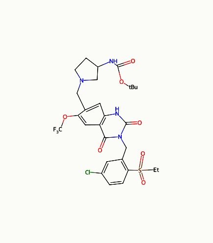 CCS(=O)(=O)c1ccc(Cl)cc1Cn1c(=O)[nH]c2cc(CN3CCC(NC(=O)OC(C)(C)C)C3)c(OC(F)(F)F)cc2c1=O